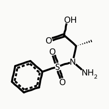 C[C@@H](C(=O)O)N(N)S(=O)(=O)c1ccccc1